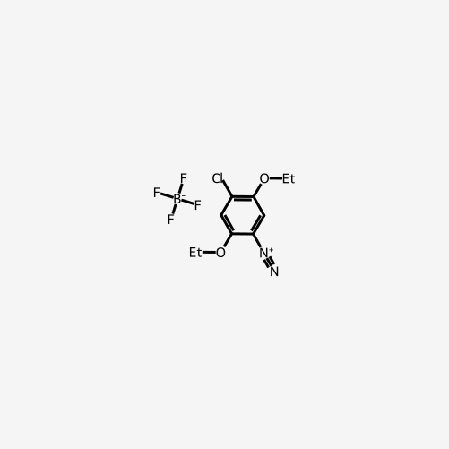 CCOc1cc([N+]#N)c(OCC)cc1Cl.F[B-](F)(F)F